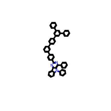 c1ccc(-c2cc(-c3ccccc3)cc(-c3ccc(-c4cccc(-c5ccc(-c6nc(-c7ccccc7)c7c(n6)c6ccccc6n7-c6ccccc6)cc5)c4)cc3)c2)cc1